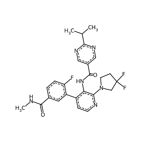 CNC(=O)c1ccc(F)c(-c2ccnc(N3CCC(F)(F)C3)c2NC(=O)c2cnc(C(C)C)nc2)c1